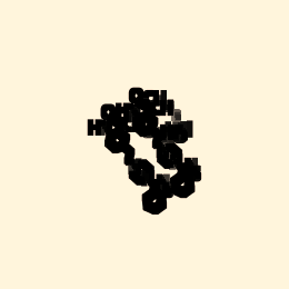 CC1(C)C(=O)Nc2ccc(CCN3CCN(c4nsc5ccccc45)CC3)cc21.CC1(C)C(=O)Nc2ccc(CCN3CCN(c4nsc5ccccc45)CC3)cc21.Cl.Cl.O